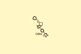 COc1cc(-c2nnc3n2CCCC3OCc2ccccc2)ccc1-c1cnc(C)o1